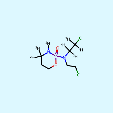 [2H]N1C([2H])([2H])CCOP1(=O)N(CCCl)C([2H])([2H])C([2H])([2H])Cl